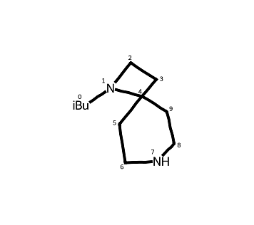 CCC(C)N1CCC12CCNCC2